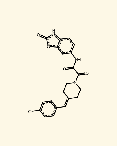 O=C(Nc1ccc2[nH]c(=O)oc2c1)C(=O)N1CCC(=Cc2ccc(Cl)cc2)CC1